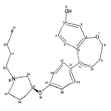 Oc1ccc2c(c1)OCCC=C2c1ccc(O[C@H]2CCN(CCCF)C2)cc1